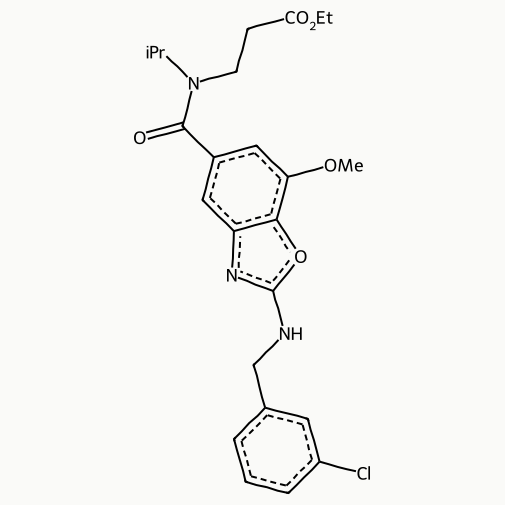 CCOC(=O)CCN(C(=O)c1cc(OC)c2oc(NCc3cccc(Cl)c3)nc2c1)C(C)C